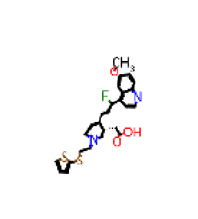 COc1ccc2nccc(C(F)CC[C@@H]3CCN(CCSc4cccs4)C[C@H]3CC(=O)O)c2c1